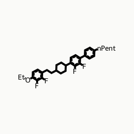 CCCCCc1ccc(-c2ccc(C3CCC(CCc4ccc(OCC)c(F)c4F)CC3)c(F)c2F)cc1